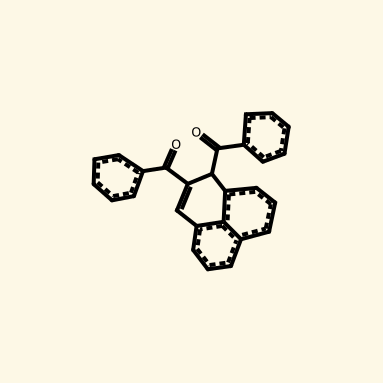 O=C(C1=Cc2cccc3cccc(c23)C1C(=O)c1ccccc1)c1ccccc1